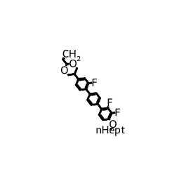 C=CC1OCC(c2ccc(-c3ccc(-c4ccc(OCCCCCCC)c(F)c4F)cc3)c(F)c2)CO1